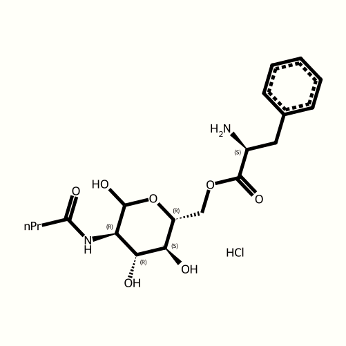 CCCC(=O)N[C@H]1C(O)O[C@H](COC(=O)[C@@H](N)Cc2ccccc2)[C@@H](O)[C@@H]1O.Cl